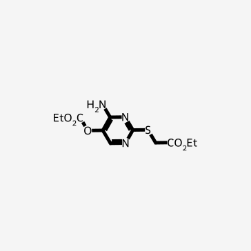 CCOC(=O)CSc1ncc(OC(=O)OCC)c(N)n1